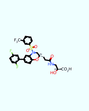 O=C(CC[C@H]1CN(S(=O)(=O)c2cccc(C(F)(F)F)c2)c2cc(-c3cc(F)ccc3F)ccc2O1)NC[C@H](O)C(=O)O